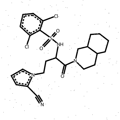 N#Cc1cccn1CCC(NS(=O)(=O)c1c(Cl)cccc1Cl)C(=O)N1CCC2CCCCC2C1